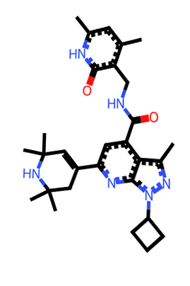 Cc1cc(C)c(CNC(=O)c2cc(C3=CC(C)(C)NC(C)(C)C3)nc3c2c(C)nn3C2CCC2)c(=O)[nH]1